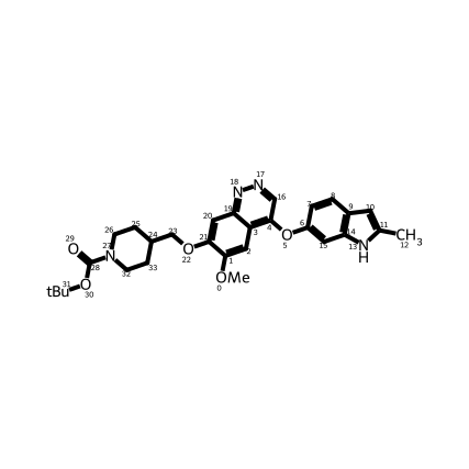 COc1cc2c(Oc3ccc4cc(C)[nH]c4c3)cnnc2cc1OCC1CCN(C(=O)OC(C)(C)C)CC1